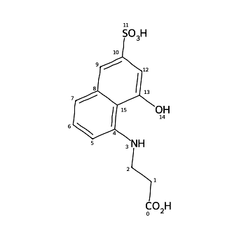 O=C(O)CCNc1cccc2cc(S(=O)(=O)O)cc(O)c12